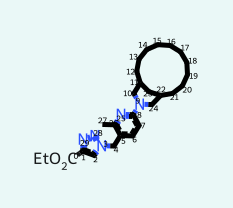 CCOC(=O)c1cn(Cc2ccc(N3CC4CCCCCCCCCCC(C4)C3)nc2C)nn1